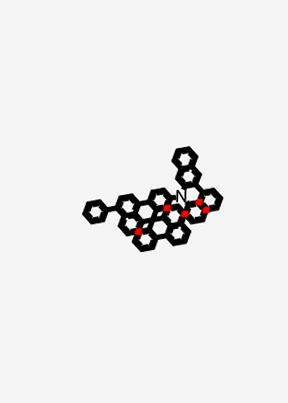 c1ccc(-c2cc3ccccc3cc2N(c2ccccc2)c2ccc3c(c2)C2(c4ccccc4-c4cccc5cccc2c45)c2cccc4c(-c5ccccc5)ccc-3c24)cc1